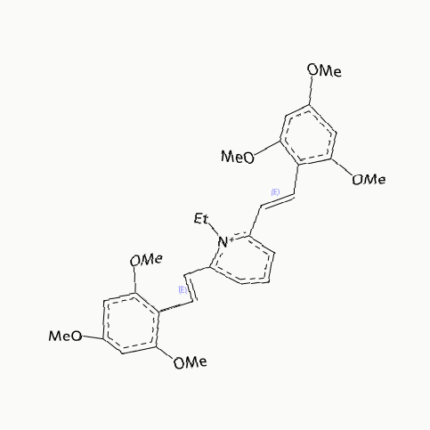 CC[n+]1c(/C=C/c2c(OC)cc(OC)cc2OC)cccc1/C=C/c1c(OC)cc(OC)cc1OC